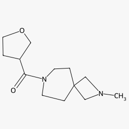 CN1CC2(CCN(C(=O)C3CCOC3)CC2)C1